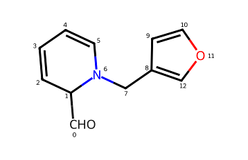 O=CC1C=CC=CN1Cc1ccoc1